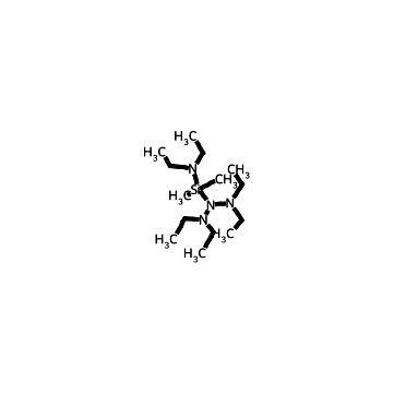 CCN(CC)N(N(CC)CC)[Si](C)(C)N(CC)CC